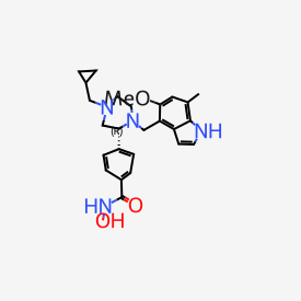 COc1cc(C)c2[nH]ccc2c1CN1CCN(CC2CC2)C[C@H]1c1ccc(C(=O)NO)cc1